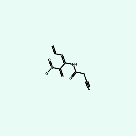 C=C/C=C(/NC(=O)CC#N)C(=C)[N+](=O)[O-]